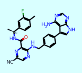 Cc1ccc([C@H](C)NC(=O)c2nc(C#N)cnc2NCc2ccc(-c3c[nH]c4ncnc(N)c34)cc2)cc1F